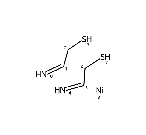 N=CCS.N=CCS.[Ni]